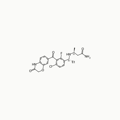 CC[C@@H](N[C@@H](C)CC(N)=O)c1ccc(Cl)c(C(=O)c2ccc3c(c2)OCC(=O)N3)c1F